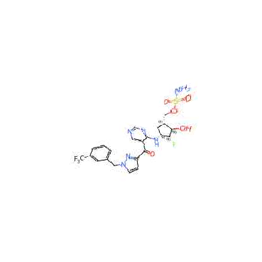 NS(=O)(=O)OC[C@H]1C[C@@H](Nc2ncncc2C(=O)c2ccn(Cc3cccc(C(F)(F)F)c3)n2)[C@@H](F)[C@@H]1O